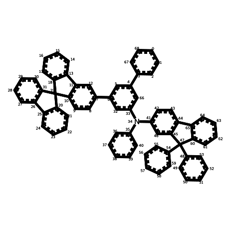 c1ccc(-c2cc(-c3ccc4c(c3)-c3ccccc3C43c4ccccc4-c4ccccc43)cc(N(c3ccccc3)c3ccc4c(c3)C(c3ccccc3)(c3ccccc3)c3ccccc3-4)c2)cc1